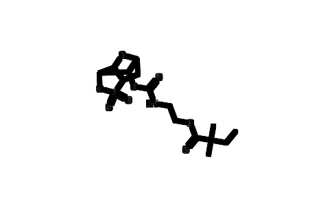 CCC(C)(C)C(=O)OCCNC(=O)OC1C2CC3C(O2)C1OS3(=O)=O